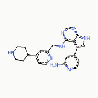 Nc1cc(-c2c[nH]c3ncnc(NCc4cc(C5CCNCC5)ccn4)c23)ccn1